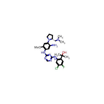 COc1cc(N2CCC[C@@H]2CN(C)C)c(N)cc1Nc1ncnc(Nc2cc(Cl)c(F)cc2C(C)(C)O)n1